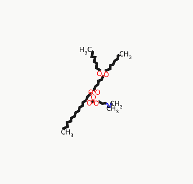 CCCCCCCCCCCCC(CCOC(=O)CCCCC(OCCCCCCCC)OCCCCCCCC)OC(=O)OCCCN(C)C